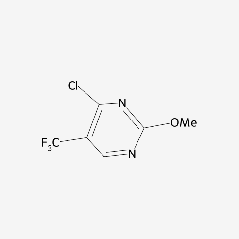 COc1ncc(C(F)(F)F)c(Cl)n1